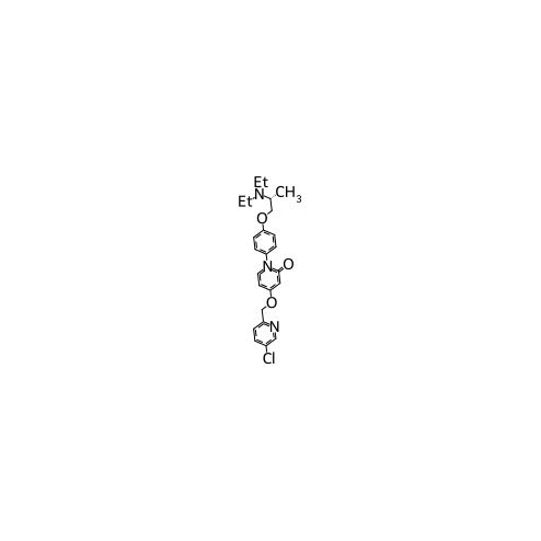 CCN(CC)[C@H](C)COc1ccc(-n2ccc(OCc3ccc(Cl)cn3)cc2=O)cc1